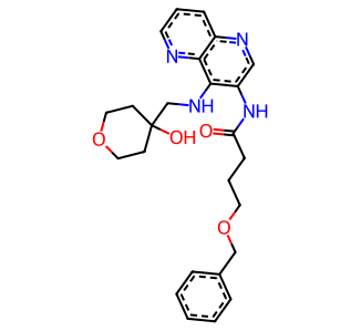 O=C(CCCOCc1ccccc1)Nc1cnc2cccnc2c1NCC1(O)CCOCC1